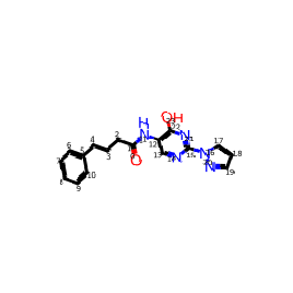 O=C(CCCc1ccccc1)Nc1cnc(-n2cccn2)nc1O